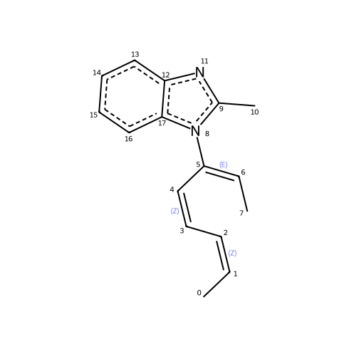 C\C=C/C=C\C(=C/C)n1c(C)nc2ccccc21